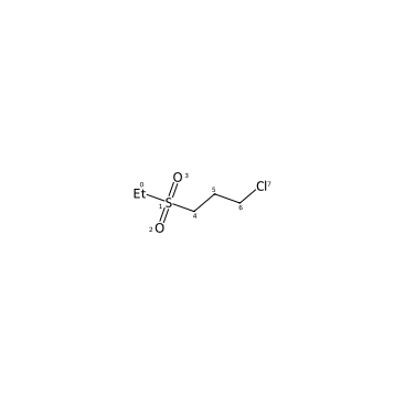 CCS(=O)(=O)CCCCl